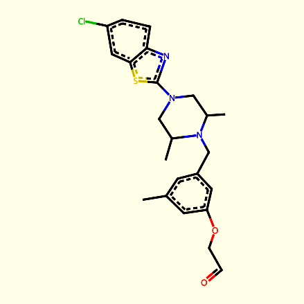 Cc1cc(CN2C(C)CN(c3nc4ccc(Cl)cc4s3)CC2C)cc(OCC=O)c1